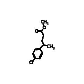 COC(=O)CCC(C)c1ccc(Cl)cc1